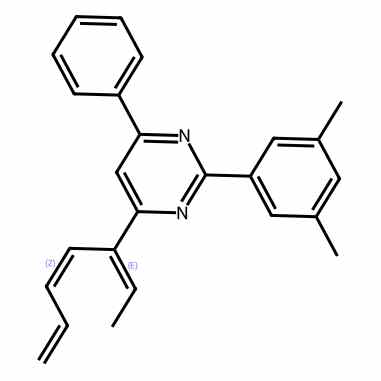 C=C/C=C\C(=C/C)c1cc(-c2ccccc2)nc(-c2cc(C)cc(C)c2)n1